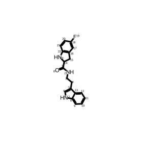 O=C(NCCc1c[nH]c2ccccc12)C1Cc2cc(F)ccc2N1